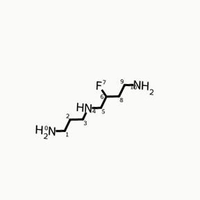 NCCCNCC(F)CCN